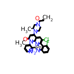 C=CC(=O)N1CCN(c2cc(=O)n(-c3c(C)ccnc3C(C)C)c3nc(-c4c(N)cccc4F)c(Cl)cc23)[C@@H](C)C1